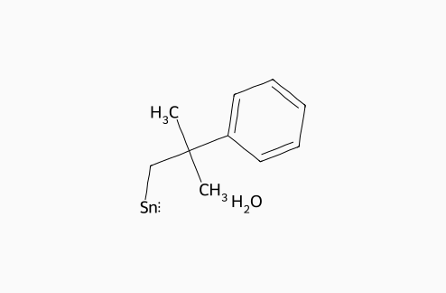 CC(C)([CH2][Sn])c1ccccc1.O